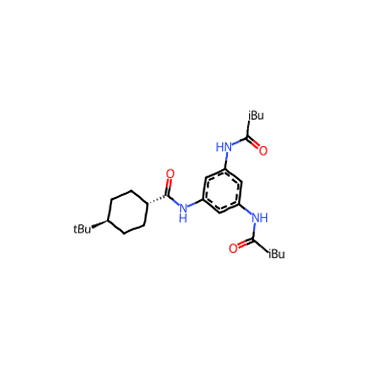 CCC(C)C(=O)Nc1cc(NC(=O)C(C)CC)cc(NC(=O)[C@H]2CC[C@H](C(C)(C)C)CC2)c1